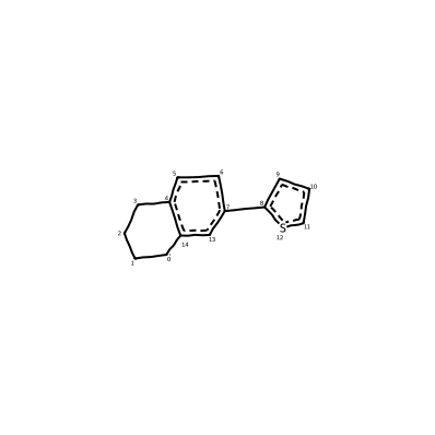 [CH]1CCCc2ccc(-c3cccs3)cc21